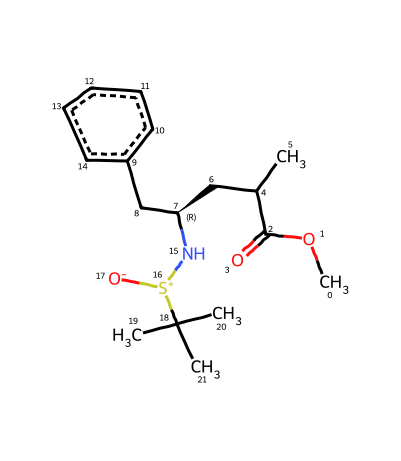 COC(=O)C(C)C[C@H](Cc1ccccc1)N[S+]([O-])C(C)(C)C